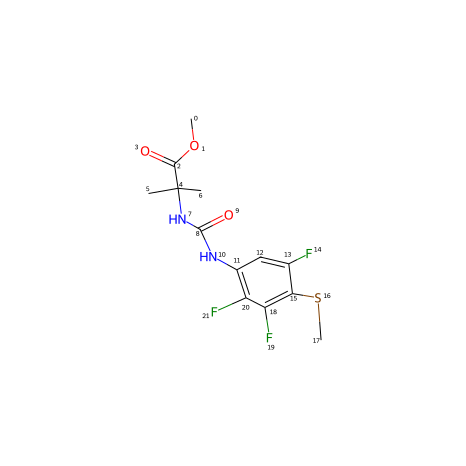 COC(=O)C(C)(C)NC(=O)Nc1cc(F)c(SC)c(F)c1F